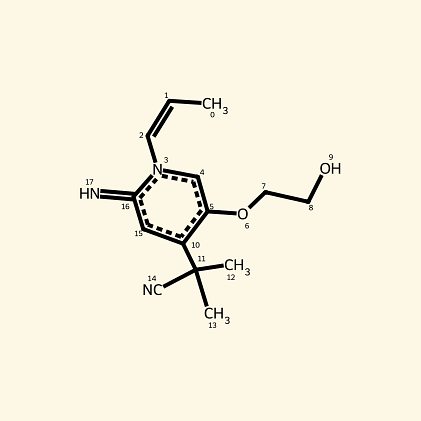 C/C=C\n1cc(OCCO)c(C(C)(C)C#N)cc1=N